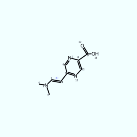 CN(C)/C=C/c1cnc(C(=O)O)cn1